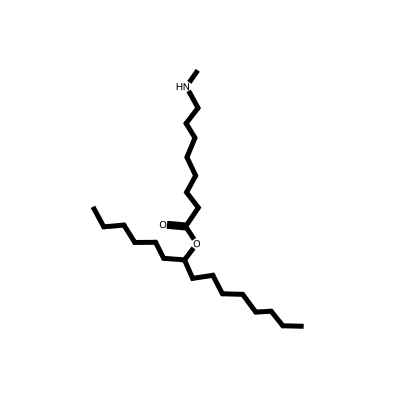 CCCCCCCCC(CCCCCC)OC(=O)CCCCCCCNC